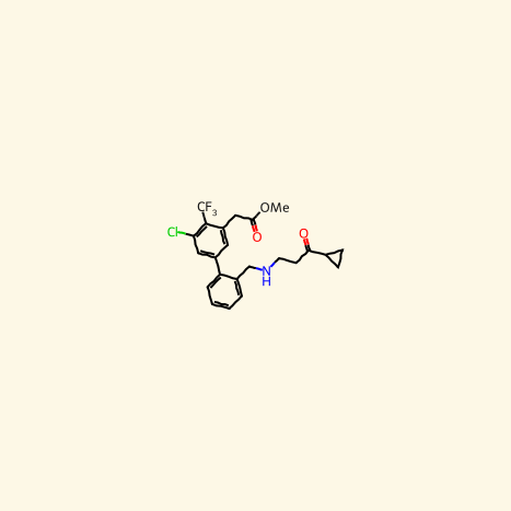 COC(=O)Cc1cc(-c2ccccc2CNCCC(=O)C2CC2)cc(Cl)c1C(F)(F)F